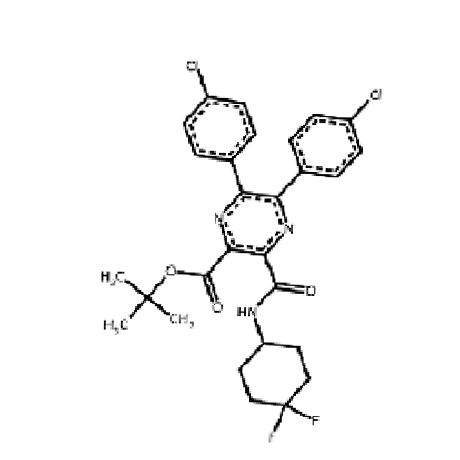 CC(C)(C)OC(=O)c1nc(-c2ccc(Cl)cc2)c(-c2ccc(Cl)cc2)nc1C(=O)NC1CCC(F)(F)CC1